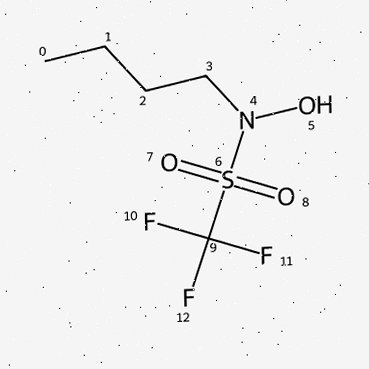 CCCCN(O)S(=O)(=O)C(F)(F)F